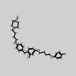 Cc1ccc(OCCCCOc2ccc(Cc3ccc(OCCCCN4CCN(C)CC4)cc3)c(C)c2)cc1